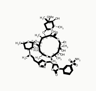 CC[C@H]1OC(=O)[C@H](C)[C@@H](O[C@H]2C[C@@](C)(OC)[C@@H](O)[C@H](C)O2)[C@H](C)[C@@H](O[C@@H]2O[C@H](C)C[C@H](N(C)CCc3cn(C[C@H]4CN(c5cccc(S(N)(=O)=O)c5)C(=O)O4)nn3)[C@H]2O)[C@](C)(O)C[C@@H](C)CN(C)[C@H](C)[C@@H](O)[C@]1(C)O